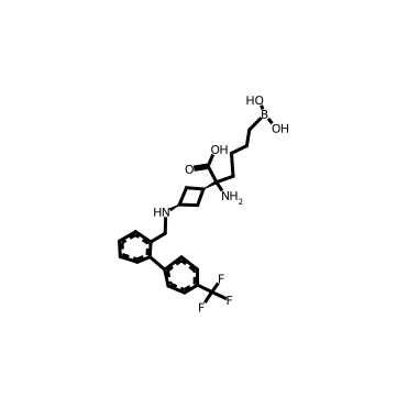 NC(CCCCB(O)O)(C(=O)O)[C@H]1C[C@@H](NCc2ccccc2-c2ccc(C(F)(F)F)cc2)C1